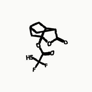 O=C1OC2(OC(=O)C(F)(F)S)CC3CC1C2C3